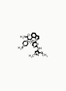 COc1nn(C)cc1Nc1ncc(C)c(-n2ccc3cccc(C(C)C(C(N)=O)N4CCN(C)CC4)c32)n1